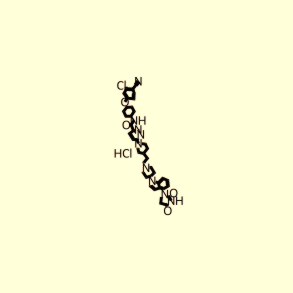 Cl.N#Cc1ccc(O[C@H]2CC[C@H](NC(=O)c3ccc(N4CCC(CCN5CCC(n6ccc7c(N8CCC(=O)NC8=O)cccc76)CC5)CC4)nn3)CC2)cc1Cl